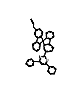 C=CCc1ccc2c(c1)-c1ccccc1C21c2ccccc2-c2ccc(-c3nc(-c4ccccc4)cc(-c4ccccc4)n3)cc21